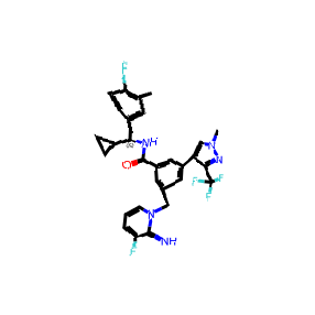 Cc1cc([C@@H](NC(=O)c2cc(Cn3cccc(F)c3=N)cc(-c3cn(C)nc3C(F)(F)F)c2)C2CC2)ccc1F